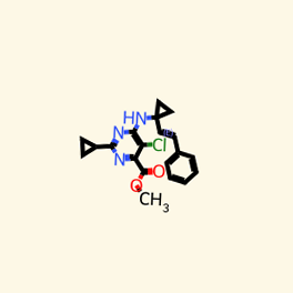 COC(=O)c1nc(C2CC2)nc(NC2(/C=C/c3ccccc3)CC2)c1Cl